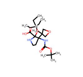 CC[Si](CC)(CC)OC1(C(=O)O)NCCC1(NC(=O)OC(C)(C)C)C1(C)COC1